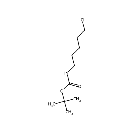 CC(C)(C)OC(=O)NCCCCCCl